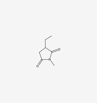 CCC1CC(=O)N(C)C1=O